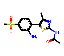 CC(=O)Nc1nc(C)c(-c2ccc(S(C)(=O)=O)cc2N)s1